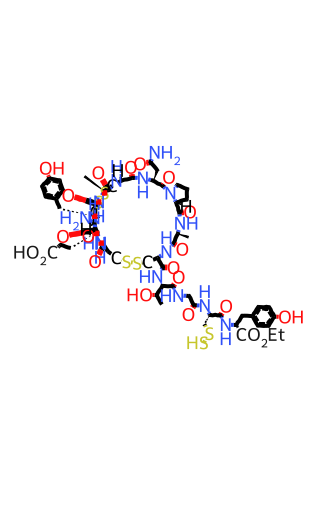 CCOC(=O)[C@H](Cc1ccc(O)cc1)NC(=O)[C@H](CSS)NC(=O)CNC(=O)[C@@H](NC(=O)C1CSSCC2NC(=O)[C@@H](N)CSSC[C@H](NC(=O)[C@H](C)NC(=O)[C@H](Cc3ccc(O)cc3)NC(=O)[C@H](CCC(=O)O)NC2=O)C(=O)N[C@@H](CC(N)=O)C(=O)N2CCC[C@H]2C(=O)N[C@@H](C)C(=O)N1)C(C)O